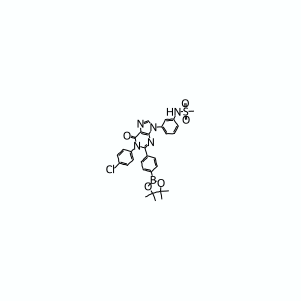 CC1(C)OB(c2ccc(-c3nc4c(ncn4-c4cccc(NS(C)(=O)=O)c4)c(=O)n3-c3ccc(Cl)cc3)cc2)OC1(C)C